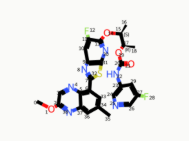 COc1cnc2c(-c3nc4cc(F)c(O[C@@H](C)[C@@H](C)OC(=O)Nc5cncc(F)c5)nc4s3)cc(C)cc2n1